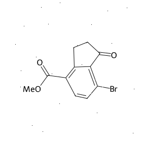 COC(=O)c1ccc(Br)c2c1CCC2=O